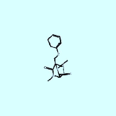 CN1C(=O)[C@]2(COC3=CC=CCC3)SSC1C(=O)N2C